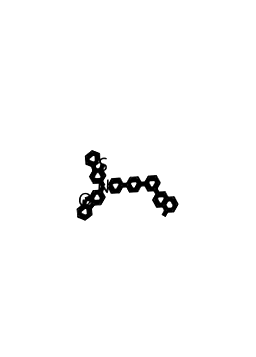 CC1CC=Cc2cc(-c3cccc(-c4ccc(-c5ccc(N(c6ccc7c(c6)oc6ccccc67)c6ccc7c(c6)sc6ccccc67)cc5)cc4)c3)ccc21